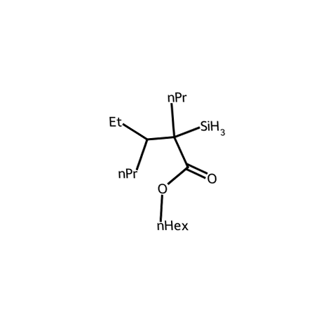 CCCCCCOC(=O)C([SiH3])(CCC)C(CC)CCC